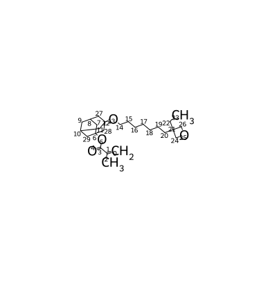 C=C(C)C(=O)OC12CC3CC(CC(OCCCCCCCC4(CC)COC4)(C3)C1)C2